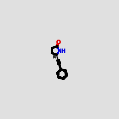 O=C1CC[C@@H](C#Cc2ccccc2)N1